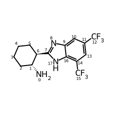 N[C@@H]1CCCC[C@H]1c1nc2cc(C(F)(F)F)cc(C(F)(F)F)c2[nH]1